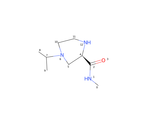 CNC(=O)[C@H]1CN(C(C)C)CCN1